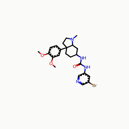 COc1ccc(C23CCC(NC(=O)Nc4cncc(Br)c4)CC2N(C)CC3)cc1OC